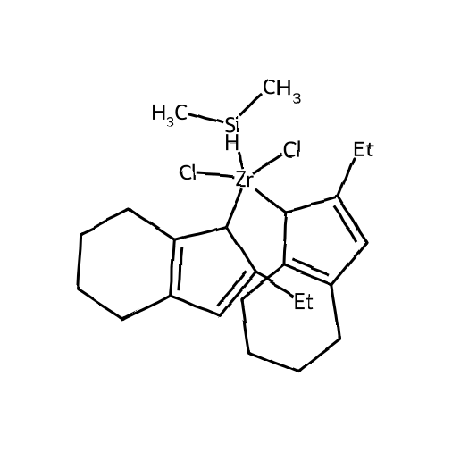 CCC1=CC2=C(CCCC2)[CH]1[Zr]([Cl])([Cl])([CH]1C(CC)=CC2=C1CCCC2)[SiH](C)C